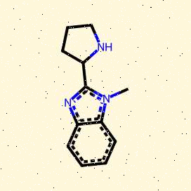 Cn1c(C2CCCN2)nc2ccccc21